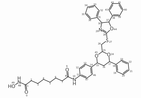 O=C(CCCCCCC(=O)Nc1ccc(C2CC(c3ccccc3)OC(CSC3=NC(c4ccccc4)C(c4ccccc4)O3)O2)cc1)NO